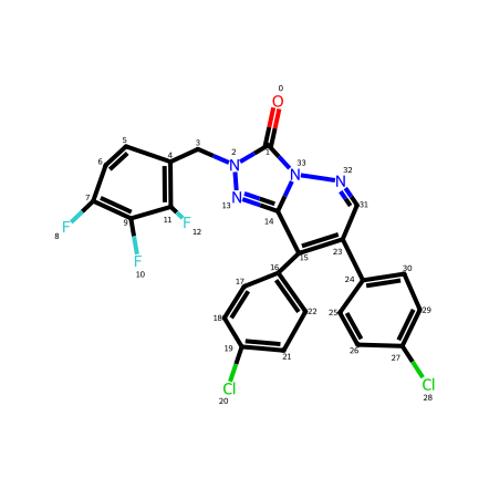 O=c1n(Cc2ccc(F)c(F)c2F)nc2c(-c3ccc(Cl)cc3)c(-c3ccc(Cl)cc3)cnn12